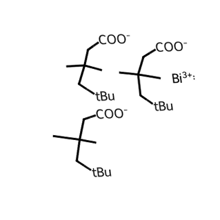 CC(C)(C)CC(C)(C)CC(=O)[O-].CC(C)(C)CC(C)(C)CC(=O)[O-].CC(C)(C)CC(C)(C)CC(=O)[O-].[Bi+3]